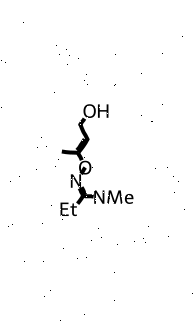 CC/C(=N/O/C(C)=C/CO)NC